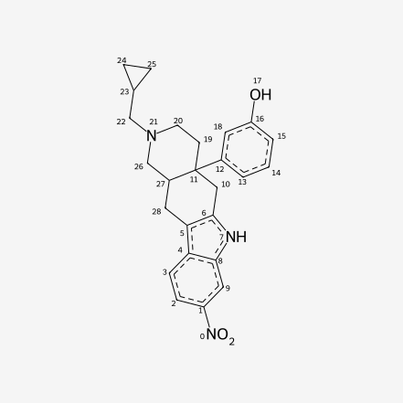 O=[N+]([O-])c1ccc2c3c([nH]c2c1)CC1(c2cccc(O)c2)CCN(CC2CC2)CC1C3